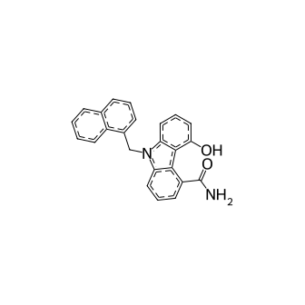 NC(=O)c1cccc2c1c1c(O)cccc1n2Cc1cccc2ccccc12